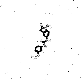 COc1cccc(NC(=O)Nc2ccc3c(c2)CC(=O)N3C)c1